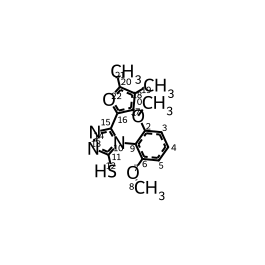 COc1cccc(OC)c1-n1c(S)nnc1-c1cc(C)c(C)o1